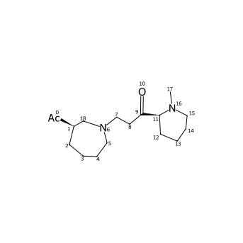 CC(=O)[C@@H]1CCCCN(CCC(=O)[C@@H]2CCCCN2C)C1